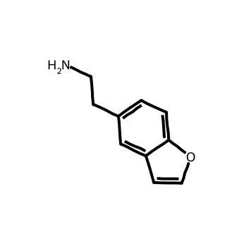 NCCc1ccc2occc2c1